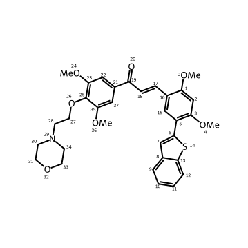 COc1cc(OC)c(-c2cc3ccccc3s2)cc1C=CC(=O)c1cc(OC)c(OCCN2CCOCC2)c(OC)c1